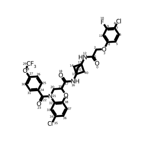 O=C(COc1ccc(Cl)c(F)c1)NC12CC(NC(=O)C3CN(C(=O)c4ccc(OC(F)(F)F)cc4)c4cc(Cl)ccc4O3)(C1)C2